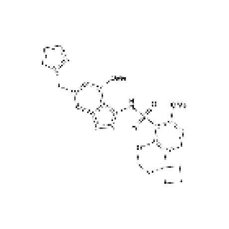 COc1ccc2c(c1S(=O)(=O)Nc1noc3cc(Cn4cccn4)cc(OC)c13)OCCC21CCC1